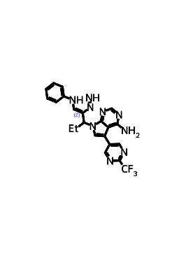 CCC(/C(=C/Nc1ccccc1)N=N)n1cc(-c2cnc(C(F)(F)F)nc2)c2c(N)ncnc21